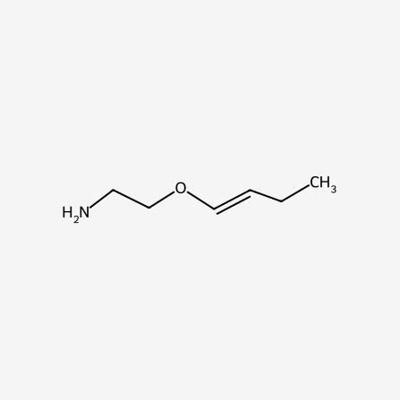 CCC=COCCN